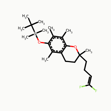 Cc1c(C)c2c(c(C)c1O[Si](C)(C)C(C)(C)C)CCC(C)(CCC=C(F)F)O2